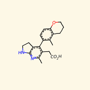 Cc1nc2c(c(-c3ccc4c(c3C)CCCO4)c1CC(=O)O)CCN2